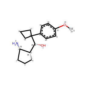 N[C@H]1CCC[C@H]1[C@@H](O)C1(c2ccc(OC(F)(F)F)cc2)CCC1